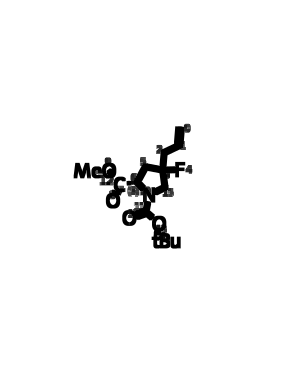 C=CCC1(F)C[C@@H]([12C](=O)OC)N(C(=O)OC(C)(C)C)C1